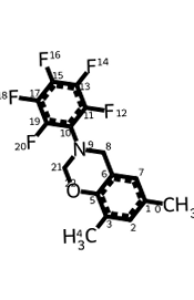 Cc1cc(C)c2c(c1)CN(c1c(F)c(F)c(F)c(F)c1F)CO2